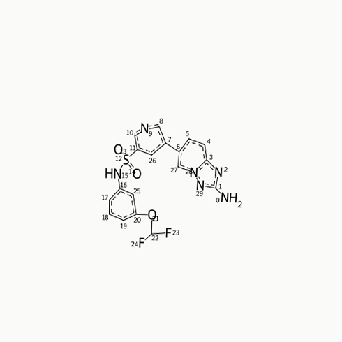 Nc1nc2ccc(-c3cncc(S(=O)(=O)Nc4cccc(OC(F)F)c4)c3)cn2n1